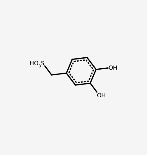 O=S(=O)(O)Cc1ccc(O)c(O)c1